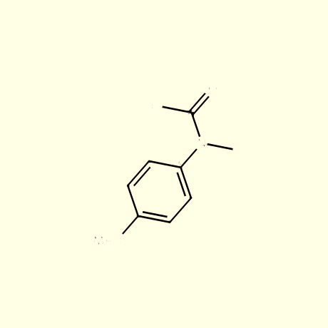 COc1ccc(N(C)C(=O)Cl)cc1